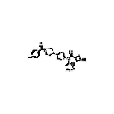 O=C(c1ccc(F)cc1)N1CCC(c2ccc(N(C(=O)C3CNC3)c3cccnn3)cc2)CC1